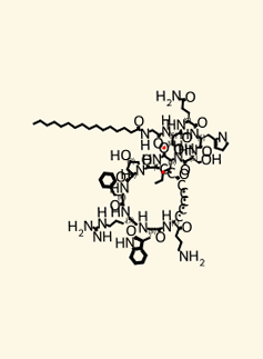 CCCCCCCCCCCCCCCC(=O)NCC(=O)N[C@H](C(=O)N[C@@H](CCC(N)=O)C(=O)N[C@@H](CC1=CCC=N1)C(=O)N[C@@H](CO)C(=O)N[C@@H](CCCC)C(=O)N[C@H]1CCC(=O)CCCCC[C@@H](C(=O)CCCN)NC(=O)[C@H](Cc2c[nH]c3ccccc23)NC(=O)[C@H](CCCNC(=N)N)NC(=O)[C@@H](Cc2ccccc2)NC(=O)[C@@H]2C[C@@H](O)CN2C1=O)[C@@H](C)O